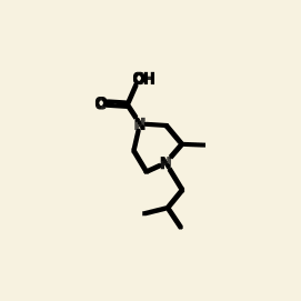 CC(C)CN1CCN(C(=O)O)CC1C